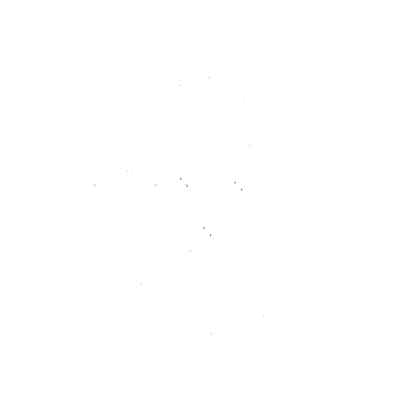 C1=CC2C(=Cc3ccccc32)c2c1cc(-c1ccccc1)n2-c1nc(-c2ccccc2)c2ccccc2n1